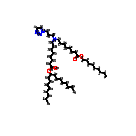 CCCCCCCCCOC(=O)CCCCCCCN(CCCCCCCC(=O)OC(CCCCCCCC)CCCCCCCC)CCCn1ccnn1